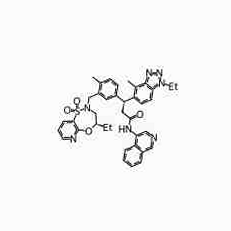 CC[C@@H]1CN(Cc2cc([C@H](CC(=O)Nc3cncc4ccccc34)c3ccc4c(nnn4CC)c3C)ccc2C)S(=O)(=O)c2cccnc2O1